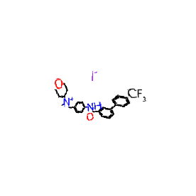 C[N+](C)(Cc1ccc(NC(=O)c2cccc(-c3ccc(C(F)(F)F)cc3)c2)cc1)C1CCOCC1.[I-]